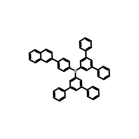 c1ccc(-c2cc(-c3ccccc3)cc(N(c3ccc(-c4ccc5ccccc5c4)cc3)c3cc(-c4ccccc4)cc(-c4ccccc4)c3)c2)cc1